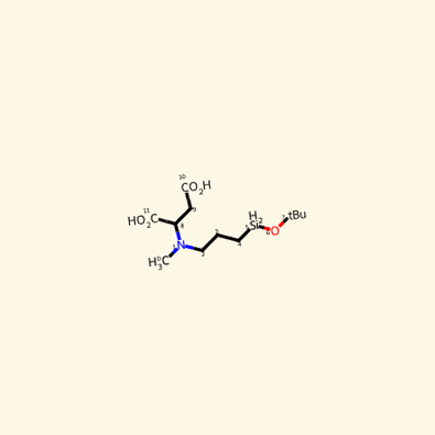 CN(CCC[SiH2]OC(C)(C)C)C(CC(=O)O)C(=O)O